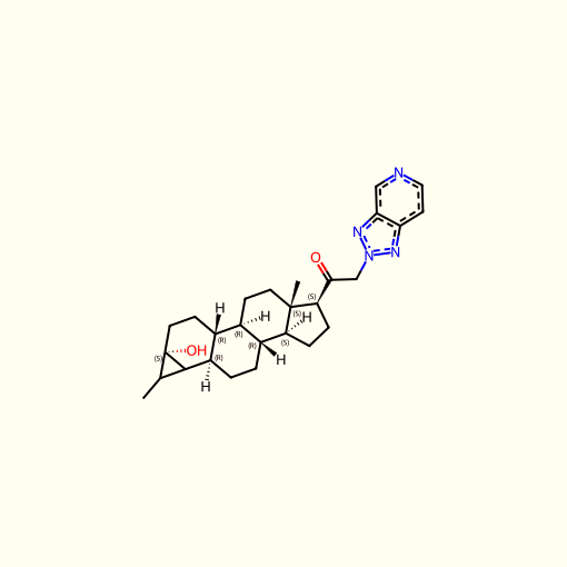 CC1C2[C@@H]3CC[C@@H]4[C@H](CC[C@]5(C)[C@@H](C(=O)Cn6nc7ccncc7n6)CC[C@@H]45)[C@H]3CC[C@]12O